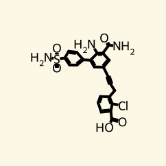 NC(=O)c1cc(C#CCc2cccc(C(=O)O)c2Cl)cc(-c2ccc(S(N)(=O)=O)cc2)c1N